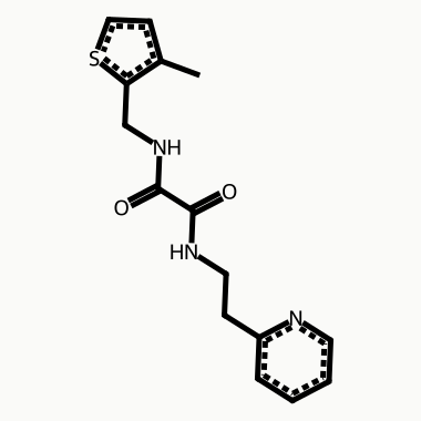 Cc1ccsc1CNC(=O)C(=O)NCCc1ccccn1